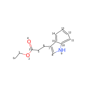 CCOC(=O)CCc1c[nH]c2ccccc12